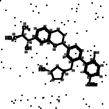 COc1cc(-c2ccc(C3CCc4ccc([C@H](O)[C@H](C)C(=O)O)cc4O3)cc2CN2CC[C@H](O)C2)c(F)cn1